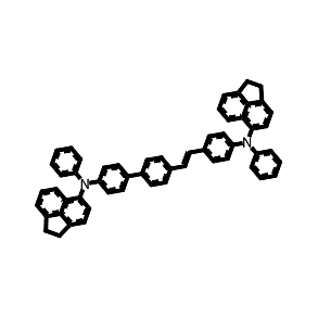 C(=C\c1ccc(N(c2ccccc2)c2ccc3c4c(cccc24)CC3)cc1)/c1ccc(-c2ccc(N(c3ccccc3)c3ccc4c5c(cccc35)CC4)cc2)cc1